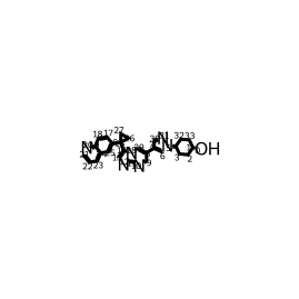 OC1CCC(n2cc(-c3cnc4ncc(C5(c6ccc7ncccc7c6)CC5)n4c3)cn2)CC1